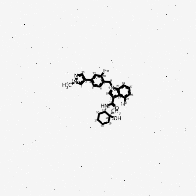 Cn1cc(-c2ccc(Cn3cc(C(=O)N[C@H]4CCCC[C@]4(C)O)c4c(F)cccc43)c(F)c2)cn1